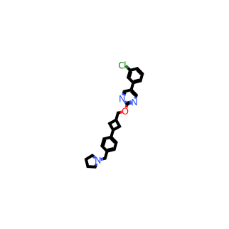 Clc1cccc(-c2cnc(OCC3CC(c4ccc(CN5CCCC5)cc4)C3)nc2)c1